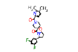 Cc1ccc(C(=O)N2CCC3(CC2)OC2CCC(c4cc(F)cc(F)c4)N2C3=O)nc1C